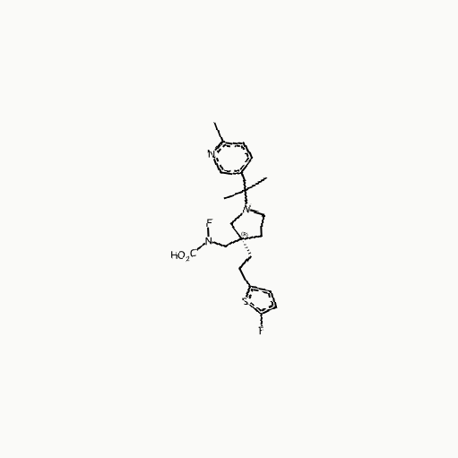 Cc1ccc(C(C)(C)N2CC[C@@](CCc3ccc(F)s3)(CN(F)C(=O)O)C2)cn1